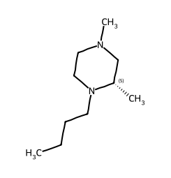 CCCCN1CCN(C)C[C@@H]1C